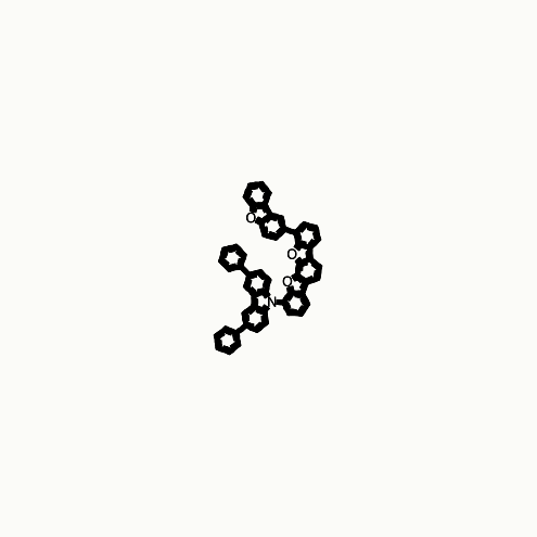 c1ccc(-c2ccc3c(c2)c2cc(-c4ccccc4)ccc2n3-c2cccc3c2oc2c3ccc3c4cccc(-c5ccc6oc7ccccc7c6c5)c4oc32)cc1